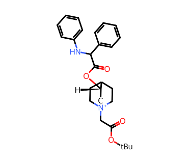 CC(C)(C)OC(=O)C[N+]12CCC(CC1)[C@@H](OC(=O)C(Nc1ccccc1)c1ccccc1)C2